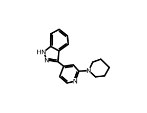 c1ccc2c(-c3ccnc(N4CCCCC4)c3)n[nH]c2c1